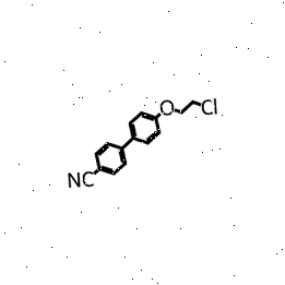 N#Cc1ccc(-c2ccc(OCCCl)cc2)cc1